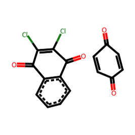 O=C1C(Cl)=C(Cl)C(=O)c2ccccc21.O=C1C=CC(=O)C=C1